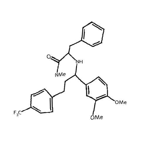 CNC(=O)C(Cc1ccccc1)NC(CCc1ccc(C(F)(F)F)cc1)c1ccc(OC)c(OC)c1